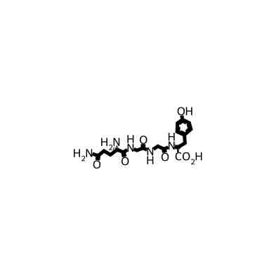 NC(=O)CC[C@H](N)C(=O)NCC(=O)NCC(=O)N[C@@H](Cc1ccc(O)cc1)C(=O)O